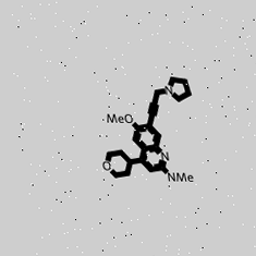 CNc1cc(C2CCOCC2)c2cc(OC)c(C#CCN3CCCC3)cc2n1